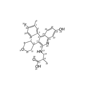 Cc1cc(-c2c(C3CCOCC3)c(NCC(C)C(=O)O)nc3cc(O)ccc23)ccc1F